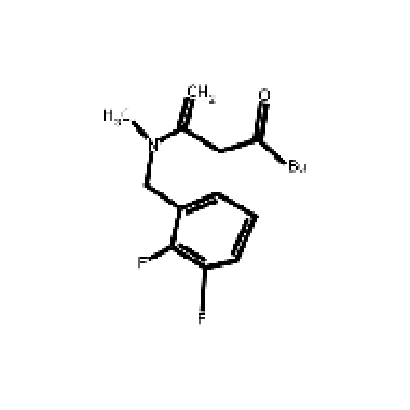 C=C(CC(=O)C(C)CC)N(C)Cc1cccc(F)c1F